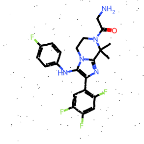 CC1(C)c2nc(-c3cc(F)c(F)cc3F)c(Nc3ccc(F)cc3)n2CCN1C(=O)CN